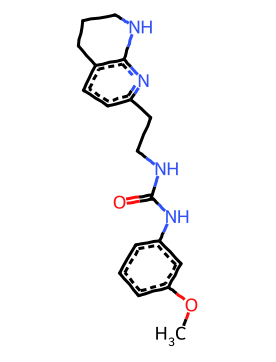 COc1cccc(NC(=O)NCCc2ccc3c(n2)NCCC3)c1